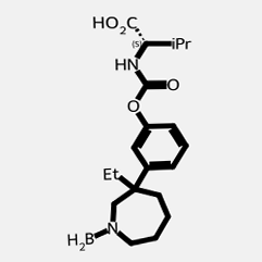 BN1CCCCC(CC)(c2cccc(OC(=O)N[C@H](C(=O)O)C(C)C)c2)C1